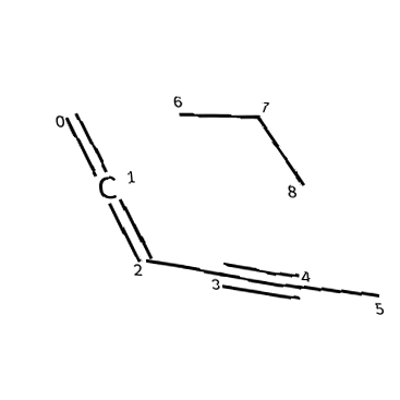 C=C=CC#CC.CCC